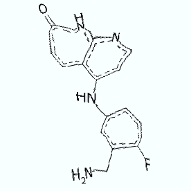 NCc1cc(Nc2ccnc3[nH]c(=O)ccc23)ccc1F